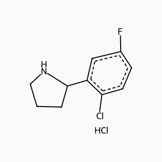 Cl.Fc1ccc(Cl)c(C2CCCN2)c1